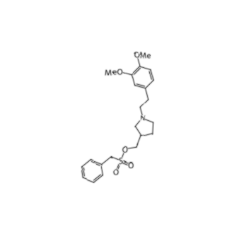 COc1ccc(CCN2CCC(COS(=O)(=O)Cc3ccccc3)C2)cc1OC